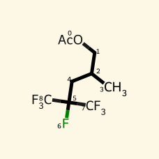 CC(=O)OCC(C)CC(F)(C(F)(F)F)C(F)(F)F